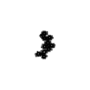 c1ccc(-n2c3ccccc3c3cc(-c4cccc([Si](c5ccccc5)(c5ccccc5)c5ccc(-n6c7ccccc7c7c8c(ccc76)sc6ccccc68)cc5)c4)ccc32)cc1